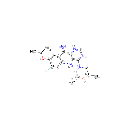 CC(C)Oc1cc(C(=N)c2cc(N3C[C@@H](C)O[C@@H](C)C3)ncn2)c(N)cc1F